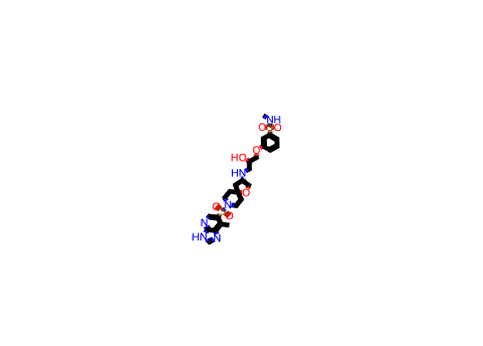 CNS(=O)(=O)c1cccc(OCC(O)CN[C@H]2COC3(CCN(S(=O)(=O)c4cnc5[nH]cnc5c4C)CC3)C2)c1